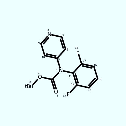 CC(C)(C)OC(=O)N(c1ccncc1)c1c(F)cccc1F